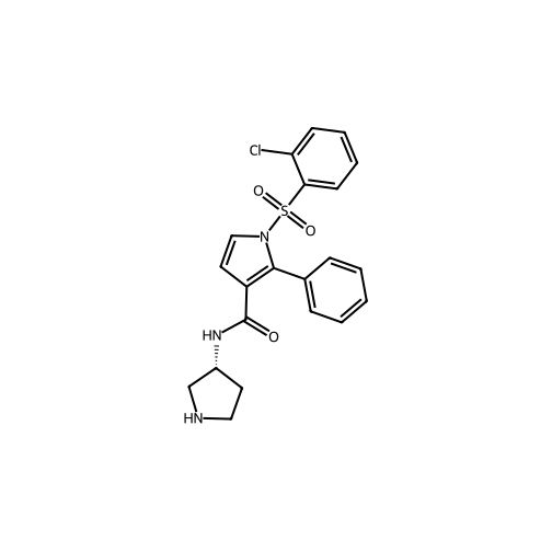 O=C(N[C@@H]1CCNC1)c1ccn(S(=O)(=O)c2ccccc2Cl)c1-c1ccccc1